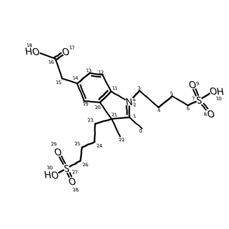 CC1=[N+](CCCCS(=O)(=O)O)c2ccc(CC(=O)O)cc2C1(C)CCCCS(=O)(=O)O